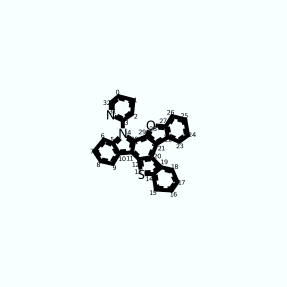 c1ccc(-n2c3ccccc3c3c4sc5ccccc5c4c4c5ccccc5oc4c32)nc1